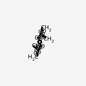 C=CC(=O)OC(COC(=O)c1ccc(C(=O)OCC(OC(=O)C=C)OC(=O)C=C)cc1)OC(=O)C=C